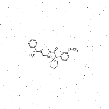 C[C@H](c1ccccc1)N1CCN(C(=O)[C@H](c2cccc(OC(F)(F)F)c2)C2(O)CCCCC2)CC1